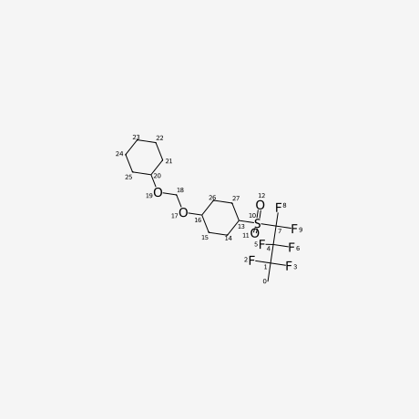 CC(F)(F)C(F)(F)C(F)(F)S(=O)(=O)C1CCC(OCOC2CCCCC2)CC1